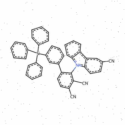 N#Cc1ccc2c(c1)c1ccccc1n2-c1c(-c2cccc([Si](c3ccccc3)(c3ccccc3)c3ccccc3)c2)ccc(C#N)c1C#N